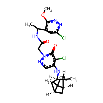 COc1nnc(Cl)cc1C(C)NC(=O)Cn1ncc(N[C@@H]2C[C@@H]3C[C@H]([C@H]2C)C3(C)C)c(Cl)c1=O